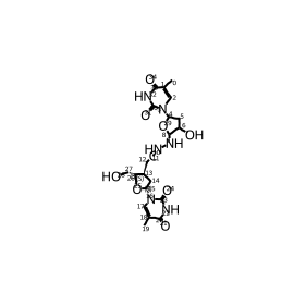 Cc1cn(C2CC(O)C(NNCC[C@H]3C[C@H](n4cc(C)c(=O)[nH]c4=O)O[C@@H]3CO)O2)c(=O)[nH]c1=O